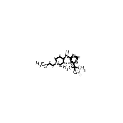 CSCCN1CCC(Nc2cc(C(C)(C)C)ncn2)CC1